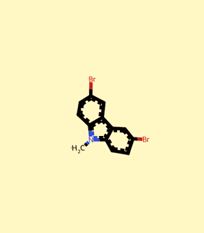 [CH2]n1c2ccc(Br)cc2c2cc(Br)ccc21